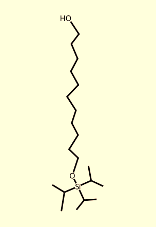 CC(C)[Si](OCCCCCCCCCCCO)(C(C)C)C(C)C